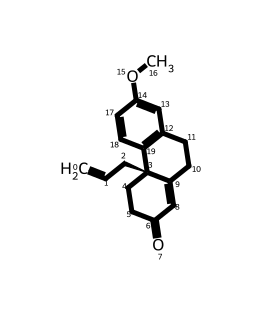 C=CC[C@]12CCC(=O)C=C1CCc1cc(OC)ccc12